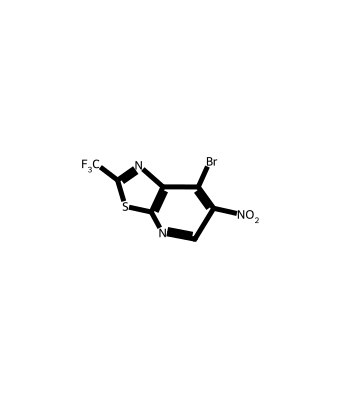 O=[N+]([O-])c1cnc2sc(C(F)(F)F)nc2c1Br